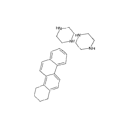 C1CNCCN1.C1CNCCN1.c1ccc2c(c1)ccc1c3c(ccc12)CCCC3